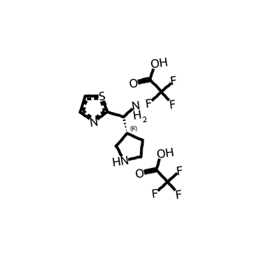 NC(c1nccs1)[C@@H]1CCNC1.O=C(O)C(F)(F)F.O=C(O)C(F)(F)F